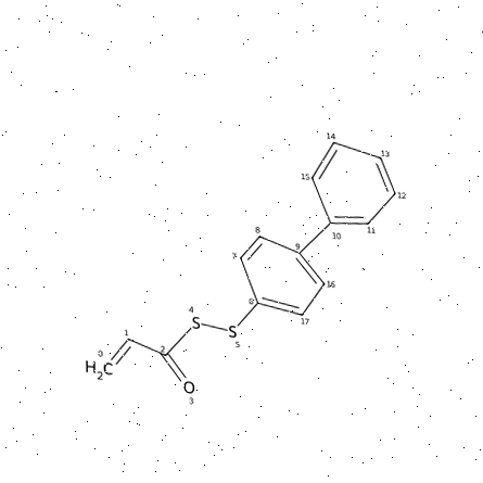 C=CC(=O)SSc1ccc(-c2ccccc2)cc1